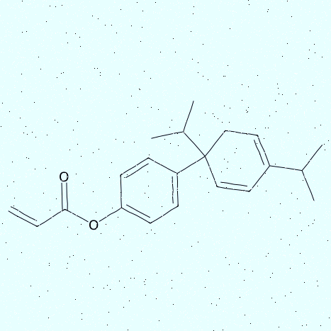 C=CC(=O)Oc1ccc(C2(C(C)C)C=CC(C(C)C)=CC2)cc1